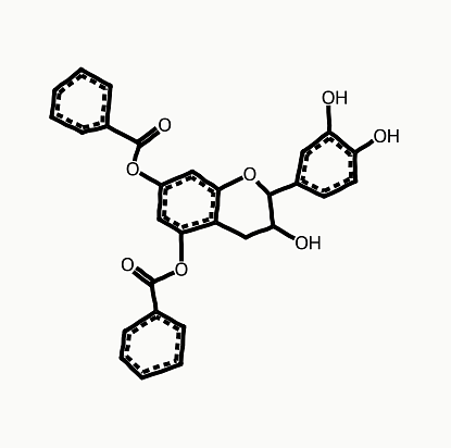 O=C(Oc1cc(OC(=O)c2ccccc2)c2c(c1)OC(c1ccc(O)c(O)c1)C(O)C2)c1ccccc1